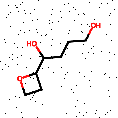 OCCCC(O)C1CCO1